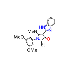 CC[C@@H]1C(=O)C(c2nc3ccccc3[nH]2)=C(NC)N1c1cc(OC)cc(OC)c1